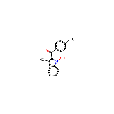 Cc1ccc(C(=O)c2c(C#N)c3ccccc3n2O)cc1